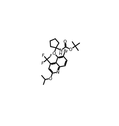 CC(C)Oc1cc(C(F)(F)F)c2c(OC3(NC(=O)OC(C)(C)C)CCCC3)c(Br)ccc2n1